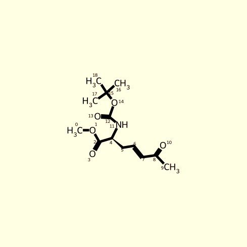 COC(=O)[C@H](C/C=C/C(C)=O)NC(=O)OC(C)(C)C